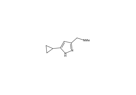 CNCc1cc(C2CC2)[nH]n1